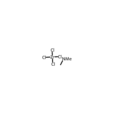 CNC.[Cl][Zr]([Cl])([Cl])[Cl]